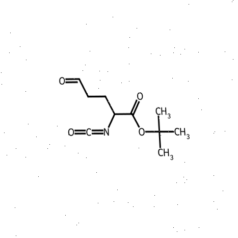 CC(C)(C)OC(=O)C(CCC=O)N=C=O